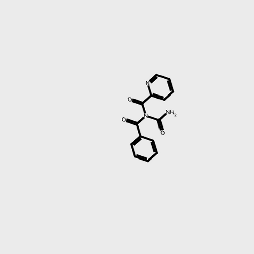 NC(=O)N(C(=O)c1ccccc1)C(=O)c1ccccn1